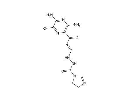 Nc1nc(N)c(C(=O)N=CNNC(=O)N2C=NCC2)nc1Cl